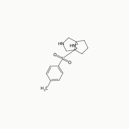 Cc1ccc(S(=O)(=O)C2NCC34CCCC23CNC4)cc1